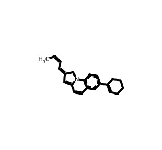 C/C=C\C=C1\C=C2C=Cc3cc(C4=CCCCC4)ccc3N2C1